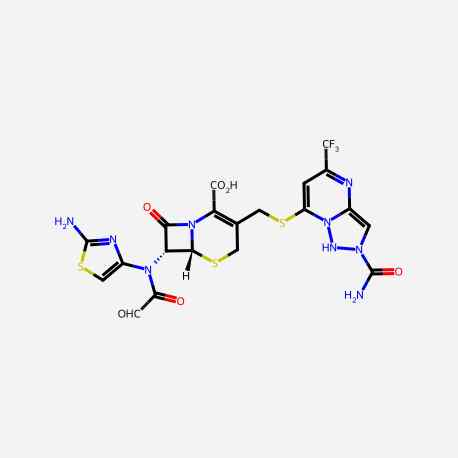 NC(=O)N1C=C2N=C(C(F)(F)F)C=C(SCC3=C(C(=O)O)N4C(=O)[C@@H](N(C(=O)C=O)c5csc(N)n5)[C@H]4SC3)N2N1